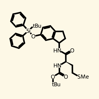 CSCC[C@@H](NC(=O)OC(C)(C)C)C(=O)NC1CCc2ccc(O[Si](c3ccccc3)(c3ccccc3)C(C)(C)C)cc21